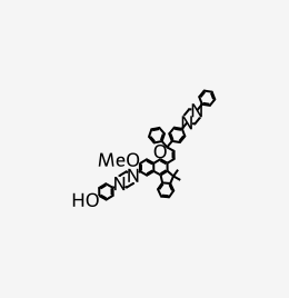 COc1cc2c3c(c4c(c2cc1N1CCN(c2ccc(O)cc2)CC1)-c1ccccc1C4(C)C)C=CC(c1ccccc1)(c1ccc(N2CCN(c4ccccc4)CC2)cc1)O3